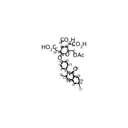 CC(=O)OC[C@H]1O[C@@H](Oc2ccc(-n3c(C)nc4cc(C)ccc4c3=O)cc2)[C@@H](CC(=O)O)[C@H](CC(=O)O)[C@@H]1CC(=O)O